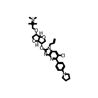 C=CCn1c(O[C@@H]2CO[C@@H]3[C@@H]2OC[C@H]3OCC(C)(C)[SiH](C)C)nc2nc(-c3ccc(N4CCCC4)cc3)c(Cl)cc21